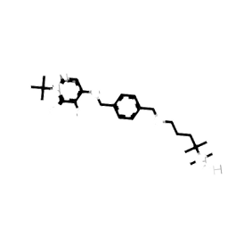 CC(C)(C)n1ncc(OCc2ccc(COCCCC(C)(C)[Si](C)(C)O)cc2)c(Cl)c1=O